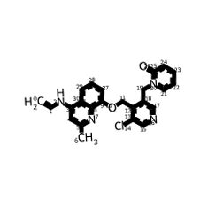 C=CNc1cc(C)nc2c(OCc3c(Cl)cncc3Cn3ccccc3=O)cccc12